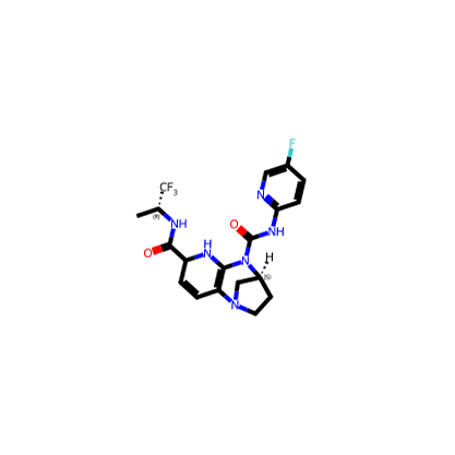 C[C@@H](NC(=O)C1C=CC2=C(N1)N(C(=O)Nc1ccc(F)cn1)[C@H]1CCN2C1)C(F)(F)F